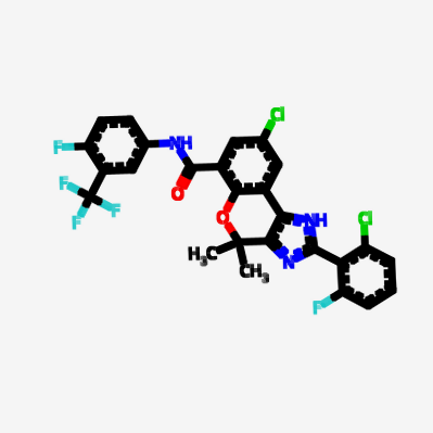 CC1(C)Oc2c(C(=O)Nc3ccc(F)c(C(F)(F)F)c3)cc(Cl)cc2-c2[nH]c(-c3c(F)cccc3Cl)nc21